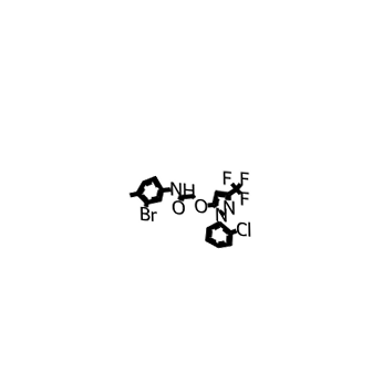 Cc1ccc(NC(=O)COc2cc(C(F)(F)F)nn2-c2ccccc2Cl)cc1Br